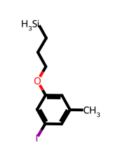 Cc1cc(I)cc(OCCC[SiH3])c1